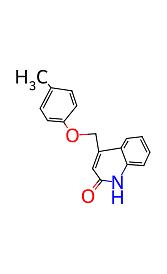 Cc1ccc(OCc2cc(=O)[nH]c3ccccc23)cc1